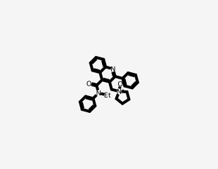 CCN(C(=O)c1c(C[N+]2([O-])CCCC2)c(-c2ccccc2)nc2ccccc12)c1ccccc1